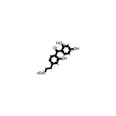 CCCCCCCCCCCCc1ccc(C(=O)c2ccc(O)cc2O)c(O)c1